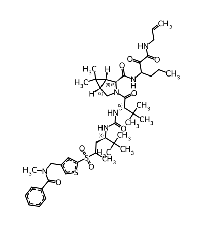 C=CCNC(=O)C(=O)C(CCC)NC(=O)[C@@H]1[C@@H]2[C@H](CN1C(=O)[C@@H](NC(=O)N[C@H](CC(C)S(=O)(=O)c1cc(CN(C)C(=O)c3ccccc3)cs1)C(C)(C)C)C(C)(C)C)C2(C)C